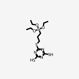 CCO[Si](CCCSc1nc(S)nc(S)n1)(OCC)OCC